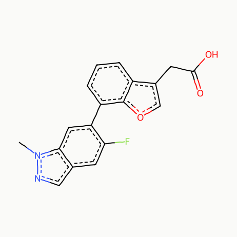 Cn1ncc2cc(F)c(-c3cccc4c(CC(=O)O)coc34)cc21